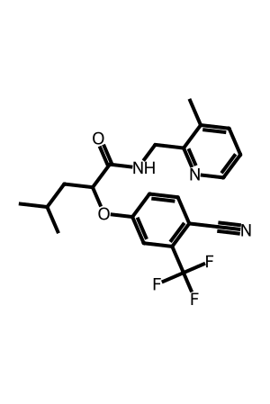 Cc1cccnc1CNC(=O)C(CC(C)C)Oc1ccc(C#N)c(C(F)(F)F)c1